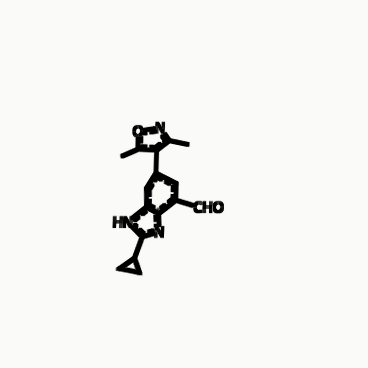 Cc1noc(C)c1-c1cc(C=O)c2nc(C3CC3)[nH]c2c1